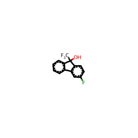 OC1(C(F)(F)F)c2ccccc2-c2cc(F)ccc21